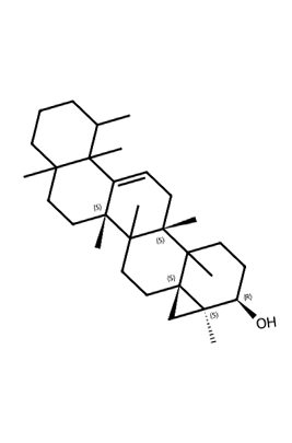 CC1CCCC2(C)CC[C@]3(C)C(=CC[C@]4(C)C5(C)CC[C@@H](O)[C@@]6(C)C[C@@]56CCC43C)C12C